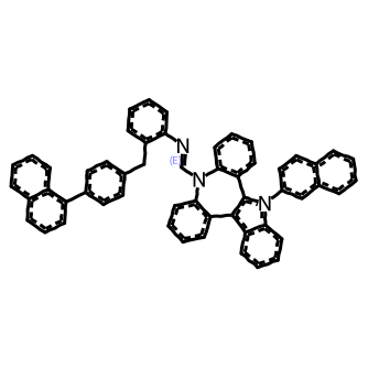 C(=N\c1ccccc1Cc1ccc(-c2cccc3ccccc23)cc1)/N1c2ccccc2-c2c(n(-c3ccc4ccccc4c3)c3ccccc23)-c2ccccc21